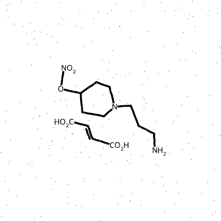 NCCCN1CCC(O[N+](=O)[O-])CC1.O=C(O)C=CC(=O)O